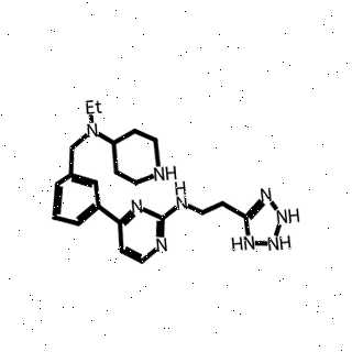 CCN(Cc1cccc(-c2ccnc(NCCC3=NNNN3)n2)c1)C1CCNCC1